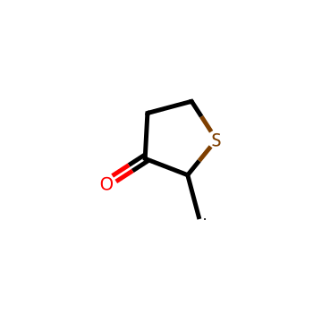 [CH2]C1SCCC1=O